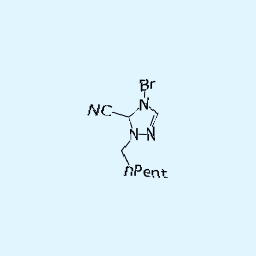 CCCCCCN1N=CN(Br)C1C#N